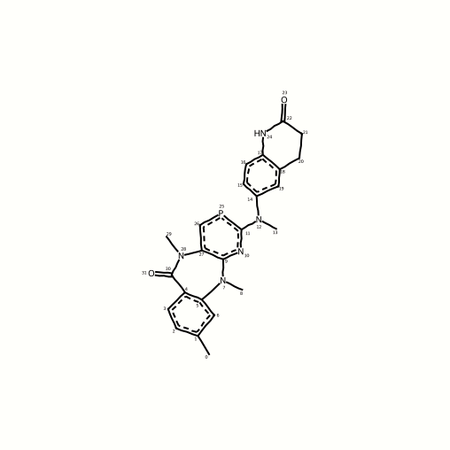 Cc1ccc2c(c1)N(C)c1nc(N(C)c3ccc4c(c3)CCC(=O)N4)pcc1N(C)C2=O